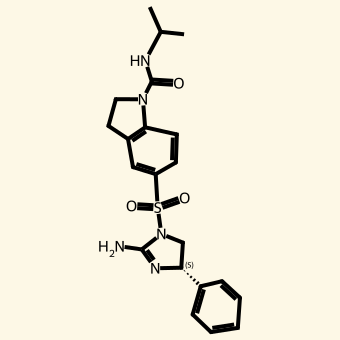 CC(C)NC(=O)N1CCc2cc(S(=O)(=O)N3C[C@H](c4ccccc4)N=C3N)ccc21